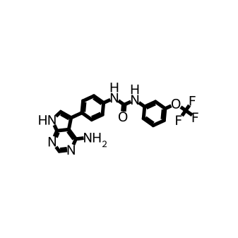 Nc1ncnc2[nH]cc(-c3ccc(NC(=O)Nc4cccc(OC(F)(F)F)c4)cc3)c12